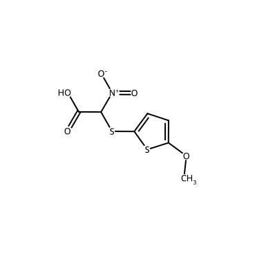 COc1ccc(SC(C(=O)O)[N+](=O)[O-])s1